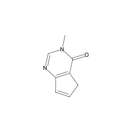 Cn1cnc2c(c1=O)CC=C2